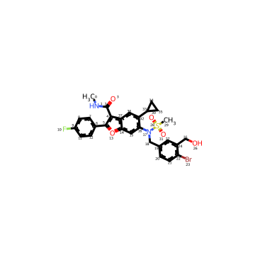 CNC(=O)c1c(-c2ccc(F)cc2)oc2cc(N(Cc3ccc(Br)c(CO)c3)S(C)(=O)=O)c(C3CC3)cc12